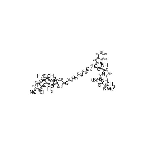 CN[C@@H](C)C(=O)N[C@H](CN1CCC[C@H]1C(=O)N[C@H]1c2ccccc2C[C@H]1OCCOCCOCCOCCOc1ccc(C(=O)NC2C(C)(C)C(Oc3ccc(C#N)c(Cl)c3)C2(C)C)cc1)C(C)(C)C